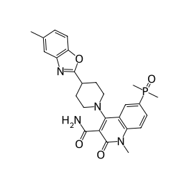 Cc1ccc2oc(C3CCN(c4c(C(N)=O)c(=O)n(C)c5ccc(P(C)(C)=O)cc45)CC3)nc2c1